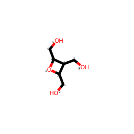 OCC1OC(CO)C1CO